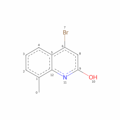 Cc1cccc2c(Br)cc(O)nc12